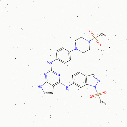 CS(=O)(=O)N1CCN(c2ccc(Nc3nc(Nc4ccc5cnn(S(C)(=O)=O)c5c4)c4cc[nH]c4n3)cc2)CC1